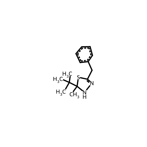 CC(C)(C)C1(C)NN=C(Cc2ccccc2)S1